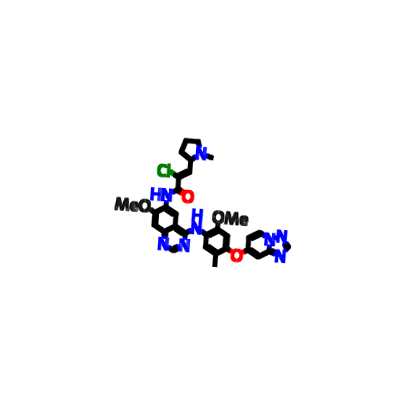 COc1cc2ncnc(Nc3cc(C)c(Oc4ccn5ncnc5c4)cc3OC)c2cc1NC(=O)C(Cl)=CC1CCCN1C